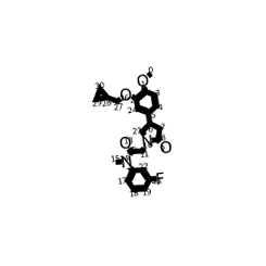 COc1ccc(C2CC(=O)N(CC(=O)N(C)c3cccc(F)c3)C2)cc1OCC1CC1